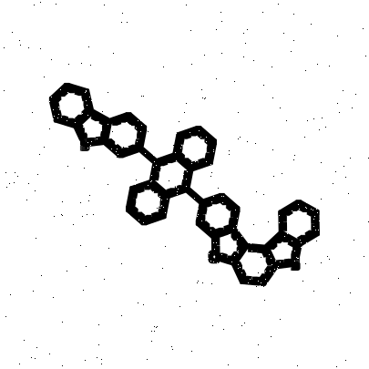 c1ccc2c(c1)sc1cc(-c3c4ccccc4c(-c4ccc5c(c4)oc4ccc6sc7ccccc7c6c45)c4ccccc34)ccc12